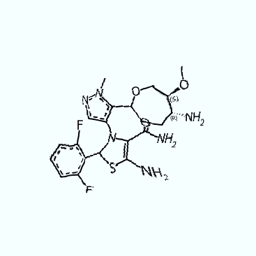 CO[C@@H]1COC(c2c(N3C(C(N)=O)=C(N)SC3c3c(F)cccc3F)cnn2C)CC[C@H]1N